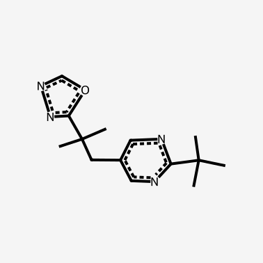 CC(C)(C)c1ncc(CC(C)(C)c2nnco2)cn1